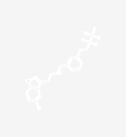 FC(F)(F)C(F)(F)COc1cccc(CNCCc2c[nH]c3ccc(Cl)cc23)c1